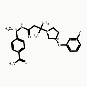 C[C@H](NC(=O)CC(C)(C)N1CC[C@@H](Oc2cccc(Cl)c2)C1)c1ccc(C(N)=O)cc1